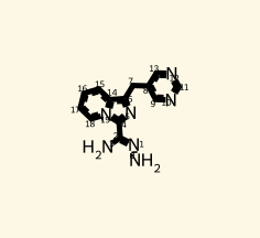 N/N=C(\N)c1nc(Cc2cncnc2)c2ccccn12